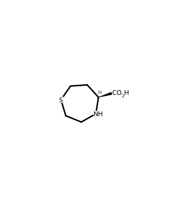 O=C(O)[C@@H]1CCSCCN1